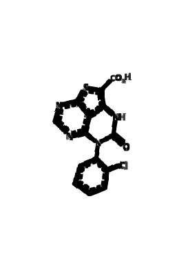 O=C(O)c1sc2ncnc3c2c1NC(=O)N3c1ccccc1Cl